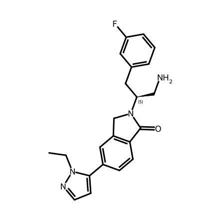 CCn1nccc1-c1ccc2c(c1)CN([C@H](CN)Cc1cccc(F)c1)C2=O